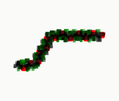 C=C(C)C(F)(F)OC(F)(F)C(F)(F)OC(F)C(F)(F)OC(F)(F)C(F)(F)OC(F)(F)C(F)(F)OC(F)(F)C(F)(F)OC(F)(F)C(F)OC(F)(F)C(F)(F)OC(F)(F)C(F)(F)OC(F)(F)C(F)(F)OC(F)(F)C(F)(F)OC(F)(F)C(F)(F)OC(F)(F)C(C)=O